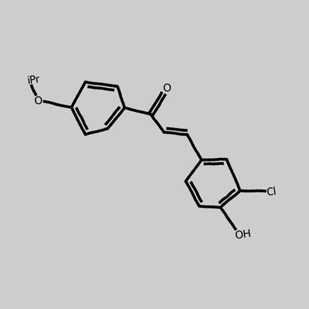 CC(C)Oc1ccc(C(=O)/C=C/c2ccc(O)c(Cl)c2)cc1